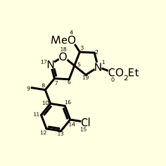 CCOC(=O)N1CC(OC)C2(CC(C(C)c3cccc(Cl)c3)=NO2)C1